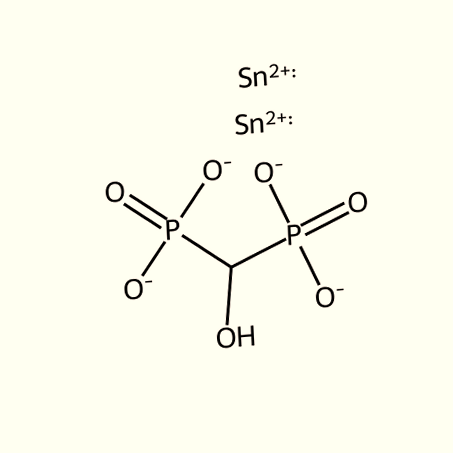 O=P([O-])([O-])C(O)P(=O)([O-])[O-].[Sn+2].[Sn+2]